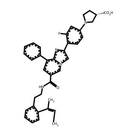 C/C=C(/C)c1ccccc1CCNC(=O)c1cc(-c2ccccc2)c2nc(-c3ccc(N4CC[C@H](C(=O)O)C4)cc3F)cn2c1